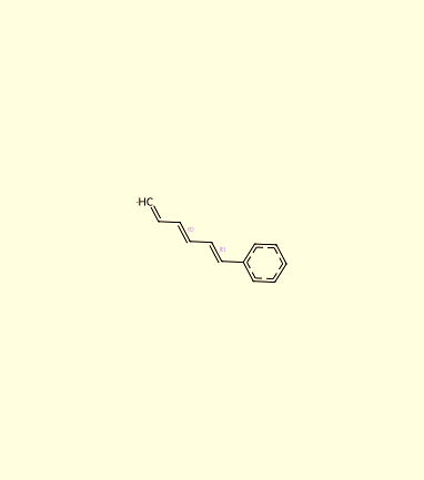 [CH]=C/C=C/C=C/c1ccccc1